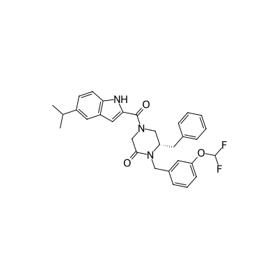 CC(C)c1ccc2[nH]c(C(=O)N3CC(=O)N(Cc4cccc(OC(F)F)c4)[C@@H](Cc4ccccc4)C3)cc2c1